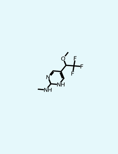 CNC1N=CC(C(OC)C(F)(F)F)=CN1